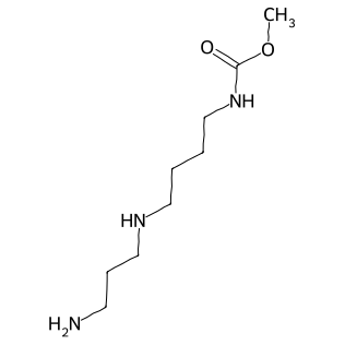 COC(=O)NCCCCNCCCN